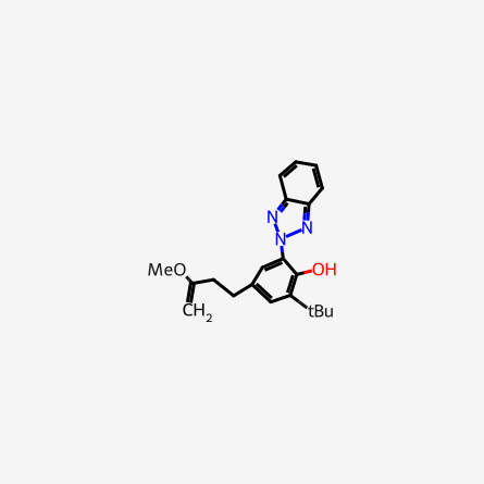 C=C(CCc1cc(-n2nc3ccccc3n2)c(O)c(C(C)(C)C)c1)OC